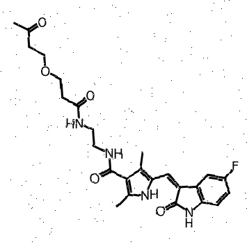 CC(=O)CCOCCC(=O)NCCNC(=O)c1c(C)[nH]c(/C=C2\C(=O)Nc3ccc(F)cc32)c1C